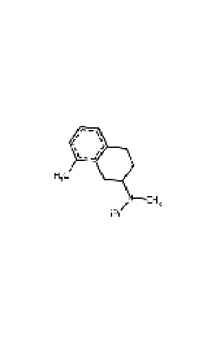 Cc1cccc2c1CC(N(C)C(C)C)CC2